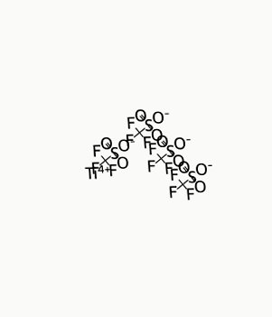 O=S(=O)([O-])C(F)(F)F.O=S(=O)([O-])C(F)(F)F.O=S(=O)([O-])C(F)(F)F.O=S(=O)([O-])C(F)(F)F.[Ti+4]